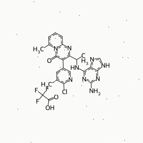 Cc1cc(-c2c(C(C)Nc3nc(N)nc4[nH]cnc34)nc3cccc(C)n3c2=O)cnc1Cl.O=C(O)C(F)(F)F